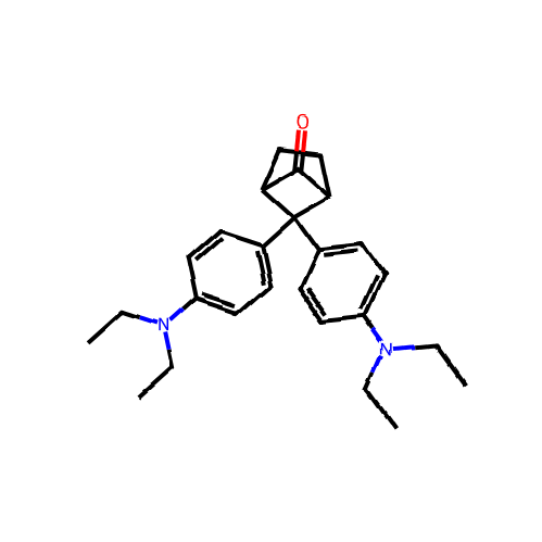 CCN(CC)c1ccc(C2(c3ccc(N(CC)CC)cc3)C3CCC2C3=O)cc1